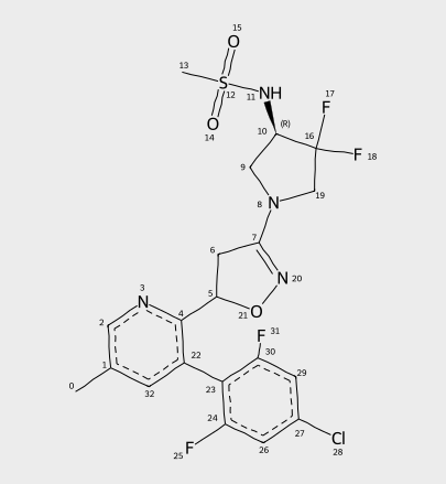 Cc1cnc(C2CC(N3C[C@@H](NS(C)(=O)=O)C(F)(F)C3)=NO2)c(-c2c(F)cc(Cl)cc2F)c1